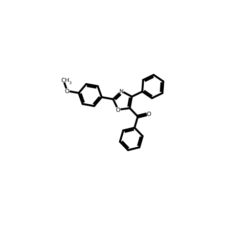 COc1ccc(-c2nc(-c3ccccc3)c(C(=O)c3ccccc3)o2)cc1